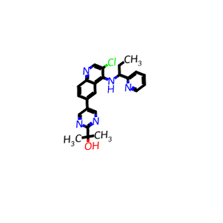 CCC(Nc1c(Cl)cnc2ccc(-c3cnc(C(C)(C)O)nc3)cc12)c1ccccn1